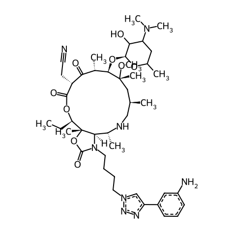 CC[C@H]1OC(=O)[C@H](CC#N)C(=O)[C@H](C)[C@@H](O[C@@H]2OC(C)CC(N(C)C)C2O)[C@](C)(OC)C[C@@H](C)CN[C@H](C)[C@H]2N(CCCCn3cc(-c4cccc(N)c4)nn3)C(=O)O[C@]12C